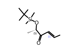 C/C=C/C(=O)[C@H](C)O[Si](C)(C)C(C)(C)C